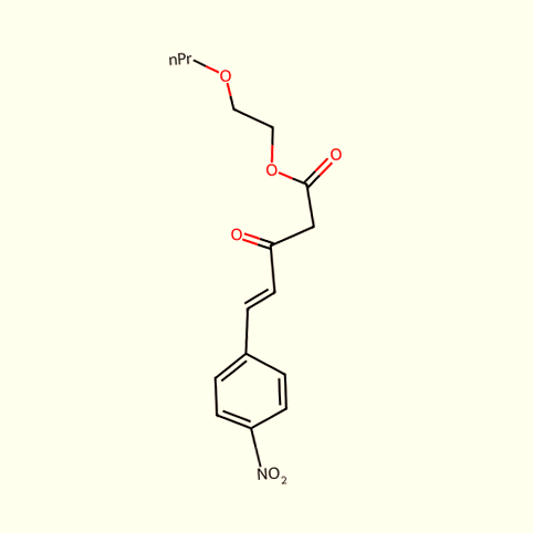 CCCOCCOC(=O)CC(=O)C=Cc1ccc([N+](=O)[O-])cc1